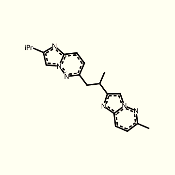 Cc1ccc2nc(C(C)Cc3ccc4nc(C(C)C)cn4n3)cn2n1